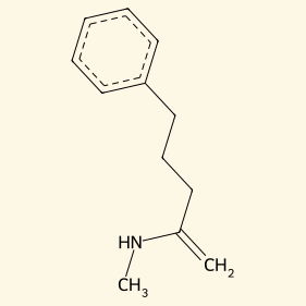 C=C(CCCc1ccccc1)NC